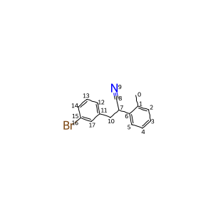 Cc1ccccc1C(C#N)Cc1cccc(Br)c1